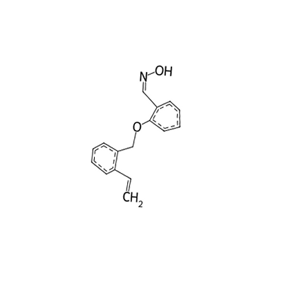 C=Cc1ccccc1COc1ccccc1/C=N\O